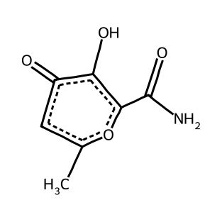 Cc1cc(=O)c(O)c(C(N)=O)o1